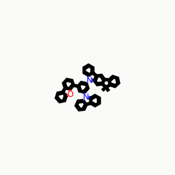 CC1(C)c2ccccc2-c2cc3c4ccccc4n(-c4cc(-c5cccc6c5oc5ccccc56)cc(-n5c6ccccc6c6ccccc65)c4)c3cc21